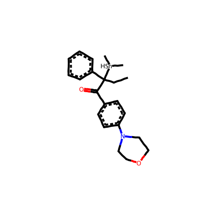 CC[C](C(=O)c1ccc(N2CCOCC2)cc1)(c1ccccc1)[SnH]([CH3])[CH3]